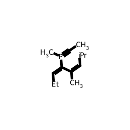 CC#P(C)C(=C/CC)/C(C)=C\C(C)C